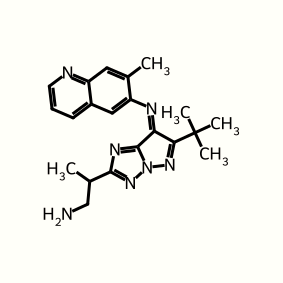 Cc1cc2ncccc2cc1/N=C1/C(C(C)(C)C)=Nn2nc(C(C)CN)nc21